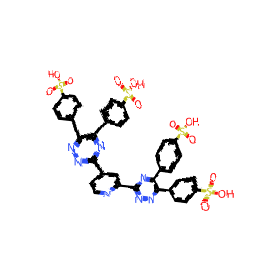 O=S(=O)(O)c1ccc(-c2nnc(-c3ccnc(-c4nnc(-c5ccc(S(=O)(=O)O)cc5)c(-c5ccc(S(=O)(=O)O)cc5)n4)c3)nc2-c2ccc(S(=O)(=O)O)cc2)cc1